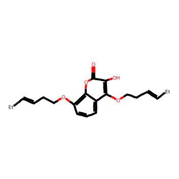 CCC=CCCOc1c(O)c(=O)oc2c(OCCC=CCC)cccc12